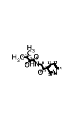 CC(C)C(=O)C(=O)NCC(=O)c1cccnc1